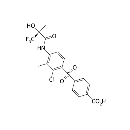 Cc1c(NC(=O)[C@@](C)(O)C(F)(F)F)ccc(S(=O)(=O)c2ccc(C(=O)O)cc2)c1Cl